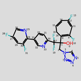 OC(Cn1cnnn1)(C1=C(F)C=C(F)C=CC1)C(F)(F)c1ccc(-c2ncc(F)cc2F)cn1